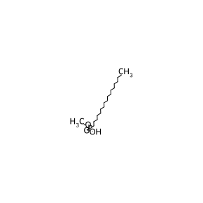 CCCCCCCCCCCCCCCCCCP(=O)(O)OCC